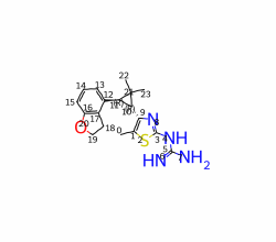 Cc1sc(NC(=N)N)nc1[C@@H]1[C@@H](c2cccc3c2CCO3)C1(C)C